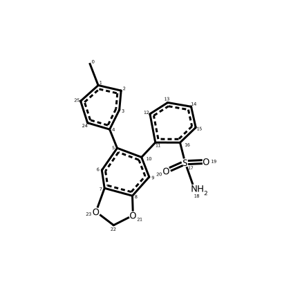 Cc1ccc(-c2cc3c(cc2-c2ccccc2S(N)(=O)=O)OCO3)cc1